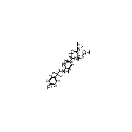 CC(C)(CNc1ccc(C(=O)N[C@@H](CO)C(N)=O)nn1)c1ccc(F)cc1